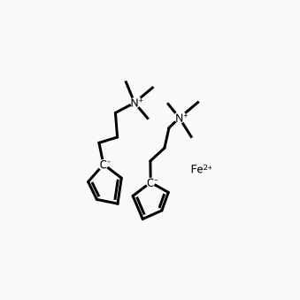 C[N+](C)(C)CCC[c-]1cccc1.C[N+](C)(C)CCC[c-]1cccc1.[Fe+2]